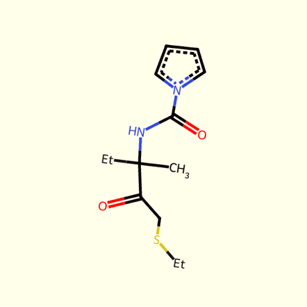 CCSCC(=O)C(C)(CC)NC(=O)n1cccc1